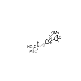 COC[C@H](NCCOc1ccc2c(c1)nc(-c1cc(C)c(=O)n(C)c1)n2[C@@H](C)COC)C(=O)O